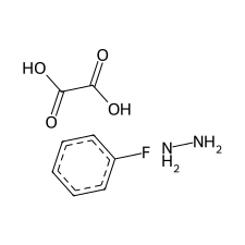 Fc1ccccc1.NN.O=C(O)C(=O)O